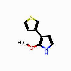 COc1[nH]ccc1-c1ccsc1